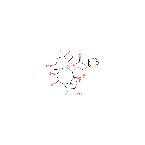 CC(=O)O[C@@]12CO[C@@H]1C[C@H](O)[C@@]1(C)C(=O)[C@H](O)C3=C(C)[C@@H](O)C[C@@](O)([C@@H](OC(=O)c4cccs4)[C@H]21)C3(C)C